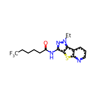 CCn1nc(NC(=O)CCCCC(F)(F)F)c2sc3ncccc3c21